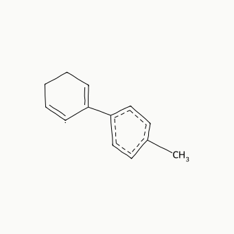 Cc1ccc(C2=CCCC=[C]2)cc1